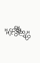 Cc1cc(C)c(C)c(-c2cccc3c(CCCOc4cccc5ccccc45)c(C(=O)O)[nH]c23)c1C